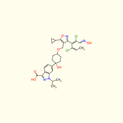 C\C=C(Cl)/C(=C(Cl)\C=N\O)c1noc(C2CC2)c1COC1CCC(O)(c2ccc3c(C(=O)O)nn(C(C)C)c3c2)CC1